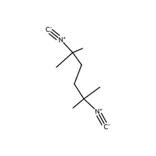 [C-]#[N+]C(C)(C)CCC(C)(C)[N+]#[C-]